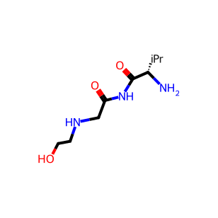 CC(C)[C@H](N)C(=O)NC(=O)CNCCO